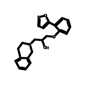 OC(COc1ccccc1-c1ccno1)CN1CCc2ccccc2C1